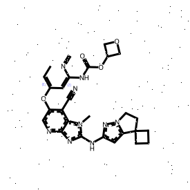 C=N/C(=C\C(=C/C)Oc1cnc2nc(Nc3cc4n(n3)CCC43CCC3)n(C)c2c1C#N)NC(=O)OC1COC1